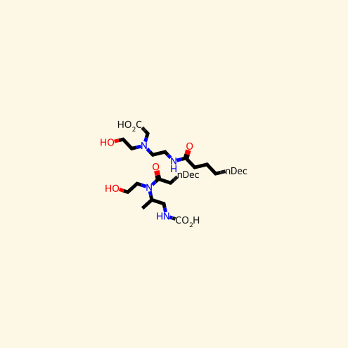 CCCCCCCCCCCC(=O)N(CCO)C(C)CNC(=O)O.CCCCCCCCCCCCCC(=O)NCCN(CCO)CC(=O)O